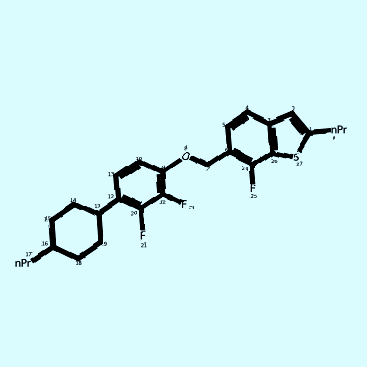 CCCc1cc2ccc(COc3ccc(C4CCC(CCC)CC4)c(F)c3F)c(F)c2s1